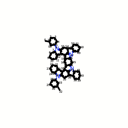 Cc1cccc(-n2c3ccccc3c3c4c5cc6c7c8c9ccccc9n(-c9cccc(C)c9)c8cc8c9ccccc9n(c6cc5n5c6ccccc6c(cc32)c45)c87)c1